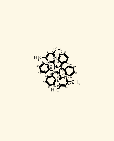 Cc1cc(C)nc(N2[Si](c3ccccc3)(c3ccccc3)N(c3nc(C)cc(C)n3)[Si]2(c2ccccc2)c2ccccc2)n1